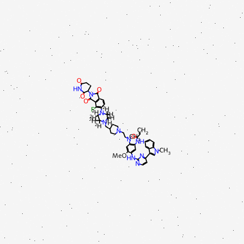 [2H]C1([2H])N(CC2CCN(CCN(C)c3cc(OC)c(Nc4nccc(-c5cn(C)c6ccccc56)n4)cc3NC(=O)C=C)CC2)C([2H])([2H])C([2H])([2H])N(c2ccc3c(c2F)C(=O)N(C2CCC(=O)NC2=O)C3=O)C1([2H])[2H]